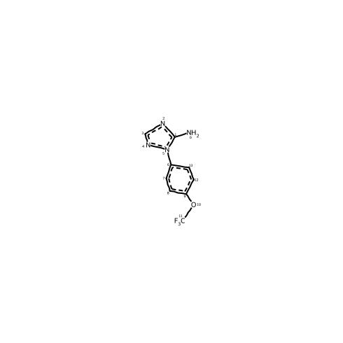 Nc1ncnn1-c1ccc(OC(F)(F)F)cc1